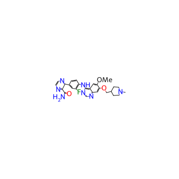 COc1cc2c(Nc3ccc(-c4nccnc4C(N)=O)cc3F)ncnc2cc1OCC1CCN(C)CC1